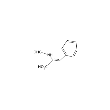 O=[C]NC(=Cc1ccccc1)C(=O)O